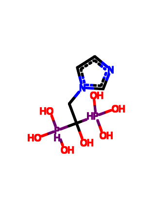 OC(Cn1ccnc1)([PH](O)(O)O)[PH](O)(O)O